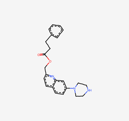 O=C(CCc1ccccc1)OCc1ccc2ccc(N3CCNCC3)cc2n1